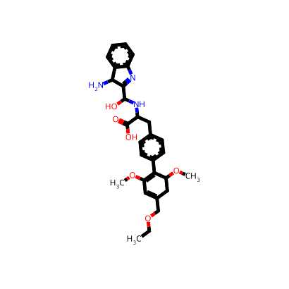 CCOCC1=CC(OC)=C(c2ccc(CC(NC(O)C3=Nc4ccccc4C3N)C(=O)O)cc2)C(OC)C1